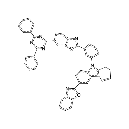 C1=Cc2c(n(-c3cccc(-c4nc5ccc(-c6nc(-c7ccccc7)nc(-c7ccccc7)n6)cc5s4)c3)c3ccc(-c4nc5ccccc5o4)cc23)CC1